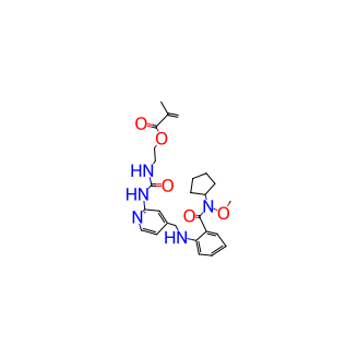 C=C(C)C(=O)OCCNC(=O)Nc1cc(CNc2ccccc2C(=O)N(OC)C2CCCC2)ccn1